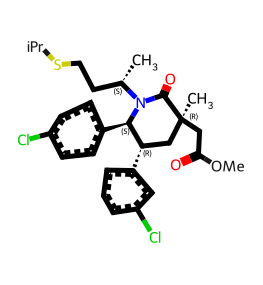 COC(=O)C[C@@]1(C)C[C@H](c2cccc(Cl)c2)[C@@H](c2ccc(Cl)cc2)N([C@@H](C)CCSC(C)C)C1=O